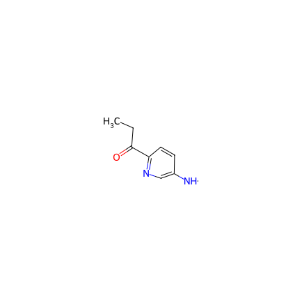 CCC(=O)c1ccc([NH])cn1